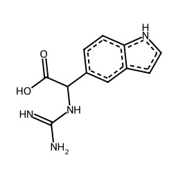 N=C(N)NC(C(=O)O)c1ccc2[nH]ccc2c1